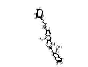 COC(=O)C(Cc1ccc(NCCCc2ccccc2)cc1)NC(=O)c1cc2ccccc2cc1O